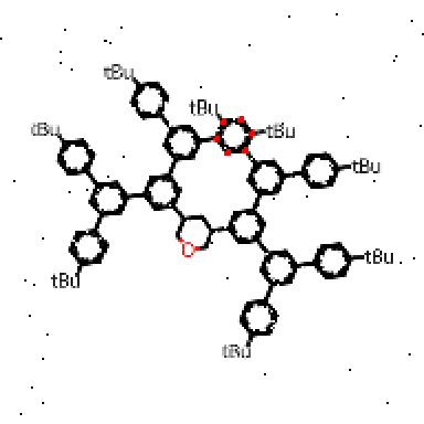 CC(C)(C)c1ccc(-c2cc(-c3ccc(C(C)(C)C)cc3)cc(-c3cc(-c4cc(-c5ccc(C(C)(C)C)cc5)cc(-c5ccc(C(C)(C)C)cc5)c4)cc(C4COCC(c5cc(-c6cc(-c7ccc(C(C)(C)C)cc7)cc(-c7ccc(C(C)(C)C)cc7)c6)cc(-c6cc(-c7ccc(C(C)(C)C)cc7)cc(-c7ccc(C(C)(C)C)cc7)c6)c5)C4)c3)c2)cc1